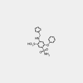 NS(=O)(=O)c1cc(S(=O)(=O)O)c(NCc2cccs2)cc1Oc1ccccc1